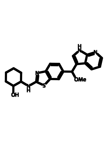 COC(c1ccc2nc(NC3CCCCC3O)sc2c1)c1c[nH]c2ncccc12